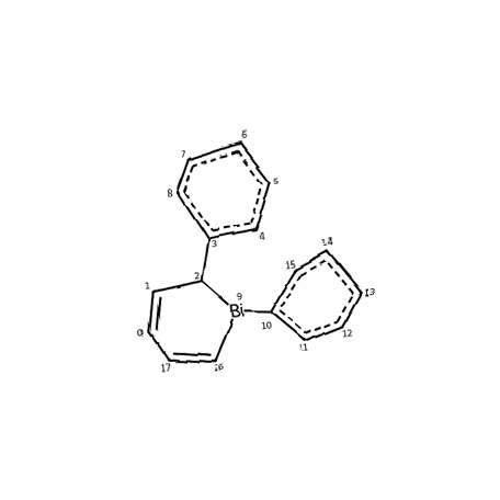 C1=C[CH](c2ccccc2)[Bi]([c]2ccccc2)[CH]=C1